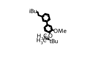 [CH2]C(CC)CCc1cccc(-c2ccc(O[Si](C)(C)C(C)(C)C)c(OC)c2)c1